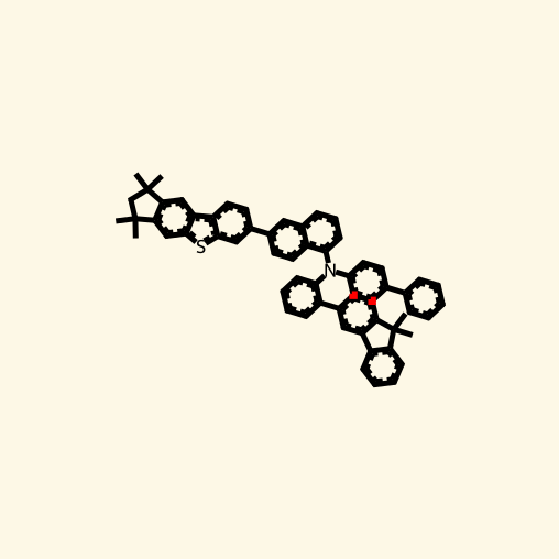 CC1(C)CC(C)(C)c2cc3c(cc21)sc1cc(-c2ccc4c(N(c5ccc(-c6ccccc6)cc5)c5ccccc5-c5ccc6c(c5)-c5ccccc5C6(C)C)cccc4c2)ccc13